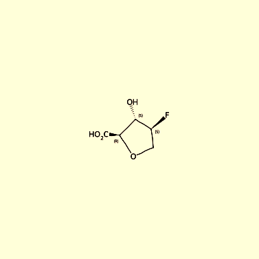 O=C(O)[C@@H]1OC[C@H](F)[C@H]1O